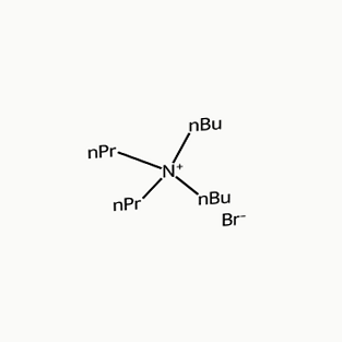 CCCC[N+](CCC)(CCC)CCCC.[Br-]